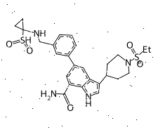 CCS(=O)(=O)N1CCC(c2c[nH]c3c(C(N)=O)cc(-c4cccc(CNC5([SH](=O)=O)CC5)c4)cc23)CC1